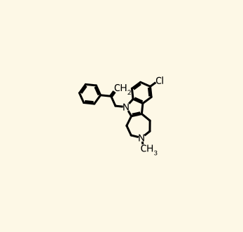 C=C(Cn1c2c(c3cc(Cl)ccc31)CCN(C)CC2)c1ccccc1